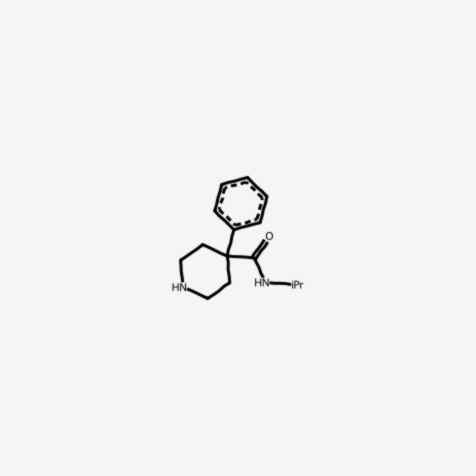 CC(C)NC(=O)C1(c2ccccc2)CCNCC1